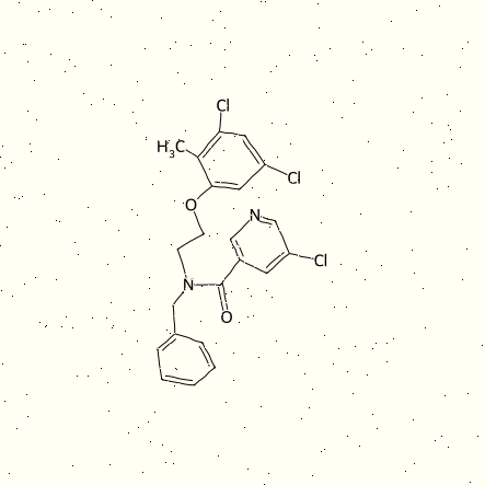 Cc1c(Cl)cc(Cl)cc1OCCN(Cc1ccccc1)C(=O)c1cncc(Cl)c1